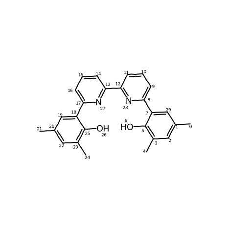 Cc1cc(C)c(O)c(-c2cccc(-c3cccc(-c4cc(C)cc(C)c4O)n3)n2)c1